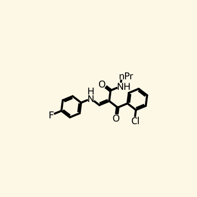 CCCNC(=O)/C(=C\Nc1ccc(F)cc1)C(=O)c1ccccc1Cl